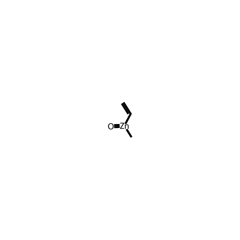 C=[CH][Zn]([CH3])=[O]